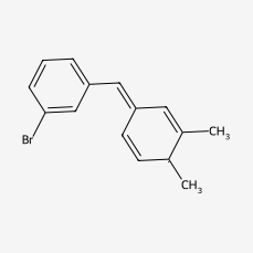 C[C]1C=C/C(=C\c2cccc(Br)c2)C=C1C